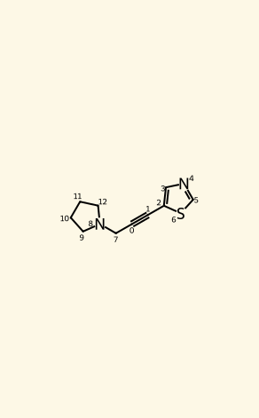 C(#Cc1cncs1)CN1CCCC1